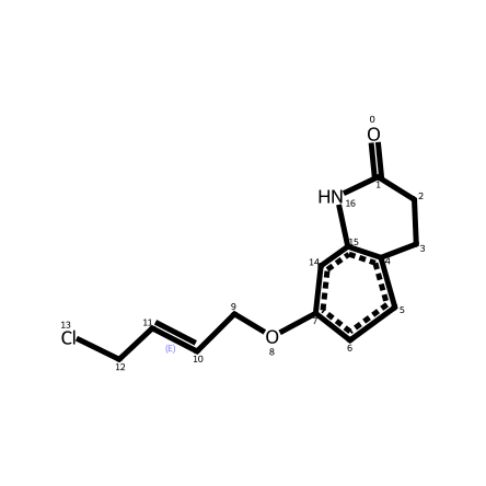 O=C1CCc2ccc(OC/C=C/CCl)cc2N1